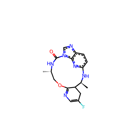 C[C@@H]1Nc2ccc3ncn(c3n2)C(=O)N[C@@H](C)COC2=NC=C(F)CC21